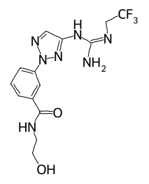 N/C(=N/CC(F)(F)F)Nc1cnn(-c2cccc(C(=O)NCCO)c2)n1